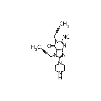 [C-]#[N+]c1nc2nc(N3CCNCC3)n(CC#CC)c2c(=O)n1CC#CC